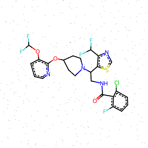 O=C(NCC(c1scnc1C(F)F)N1CCC(Oc2ncccc2OC(F)F)CC1)c1c(F)cccc1Cl